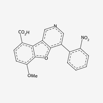 COc1ccc(C(=O)O)c2c1oc1c(-c3ccccc3[N+](=O)[O-])cncc12